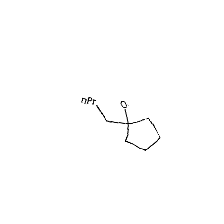 CCCCC1([O])CCCC1